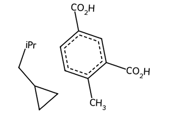 CC(C)CC1CC1.Cc1ccc(C(=O)O)cc1C(=O)O